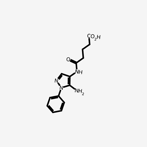 Nc1c(NC(=O)CCCC(=O)O)cnn1-c1ccccc1